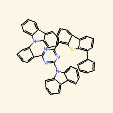 c1ccc(-c2cccc3c2sc2c(-c4nc(-c5ccccc5-n5c6ccccc6c6ccccc65)nc(-n5c6ccccc6c6ccccc65)n4)cccc23)cc1